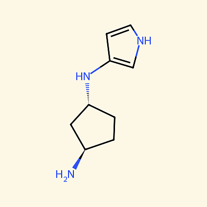 N[C@@H]1CC[C@@H](Nc2cc[nH]c2)C1